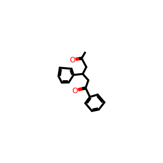 CC(=O)CC(CC(=O)c1ccccc1)c1ccccc1